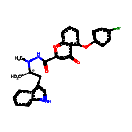 CN(NC(=O)c1cc(=O)c2c(Oc3ccc(Br)cc3)cccc2o1)[C@H](Cc1c[nH]c2ccccc12)C(=O)O